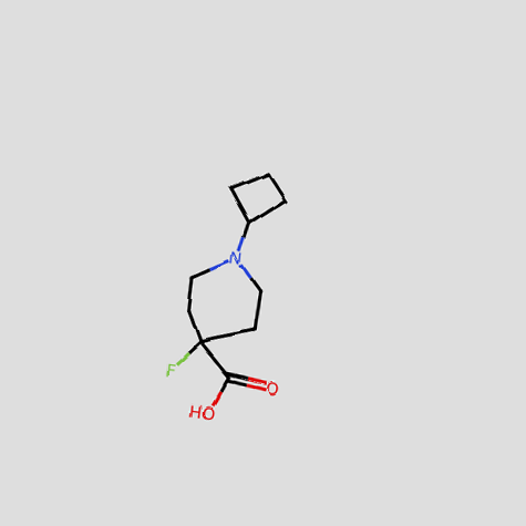 O=C(O)C1(F)CCN(C2CCC2)CC1